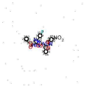 O=C(Cn1c(-c2ccc(F)cc2)ncc(NC(=O)OCc2ccccc2)c1=O)NC(Cc1ccccc1)C(=O)c1nc2cc([N+](=O)[O-])ccc2o1